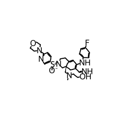 CN(CCO)C[C@]12CC(C=N)=C(Nc3ccc(F)cc3)C=C1CCN([S+]([O-])c1ccc(N3CCOCC3)nc1)C2